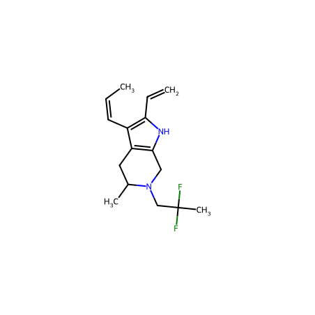 C=Cc1[nH]c2c(c1/C=C\C)CC(C)N(CC(C)(F)F)C2